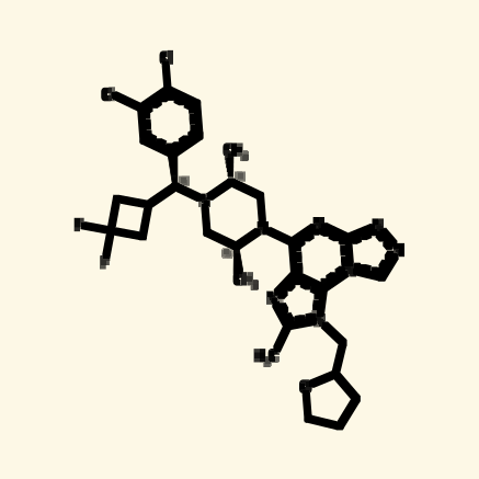 Cc1nc2c(N3C[C@@H](C)N([C@H](c4ccc(Cl)c(Cl)c4)C4CC(F)(F)C4)C[C@@H]3C)nc3nncn3c2n1CC1CCCO1